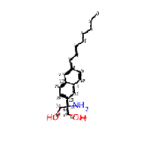 CCCCCCCCc1ccc2cc(C(N)(CO)CO)ccc2c1